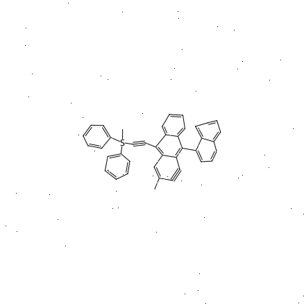 Cc1c#cc2c(-c3cccc4ccccc34)c3ccccc3c(C#CS(C)(c3ccccc3)c3ccccc3)c2c1